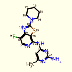 Cc1cc(Nc2ncc(F)c3nc(N4CCCCC4)sc23)nc(N)n1